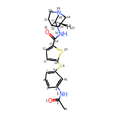 CC(=O)Nc1cccc(Sc2ccc(C(=O)N[C@H]3CN4CCC3CC4)s2)c1